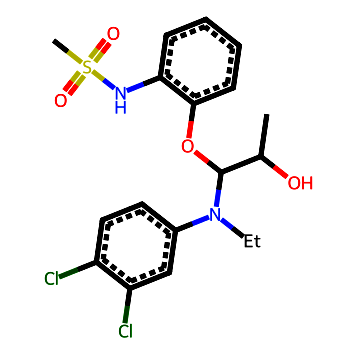 CCN(c1ccc(Cl)c(Cl)c1)C(Oc1ccccc1NS(C)(=O)=O)C(C)O